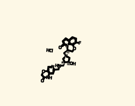 Cl.O=C1COc2cnc(CNC[C@@H]3CN(C[C@@H]4COc5c(F)ccc6ccc(=O)n4c56)C[C@H]3O)cc2N1